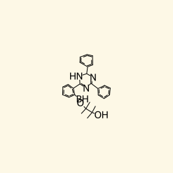 CC(C)(O)C(C)(C)OBc1ccccc1C1=NC(c2ccccc2)=NC(c2ccccc2)N1